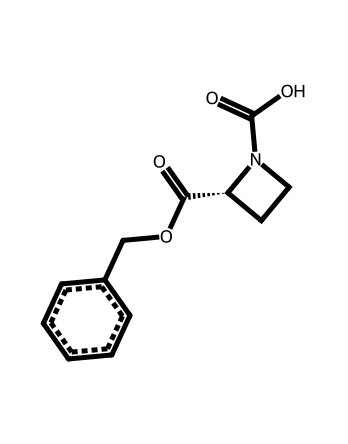 O=C(OCc1ccccc1)[C@H]1CCN1C(=O)O